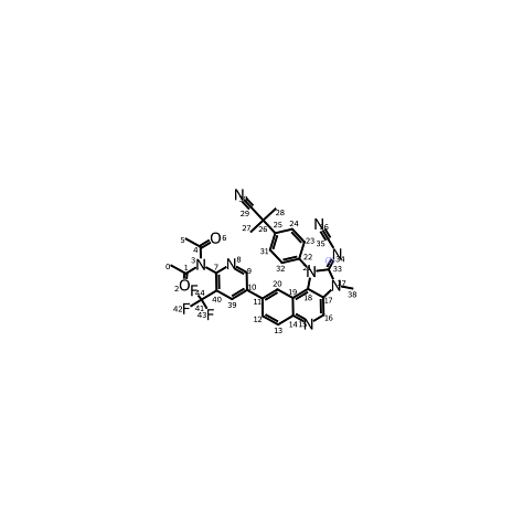 CC(=O)N(C(C)=O)c1ncc(-c2ccc3ncc4c(c3c2)n(-c2ccc(C(C)(C)C#N)cc2)/c(=N\C#N)n4C)cc1C(F)(F)F